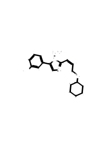 CNn1c(-c2cccc(C(F)(F)F)c2)cnc1/C=C\CNC1CCCCC1